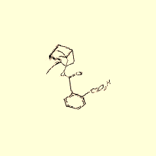 CC1CCC2CC1(OC(=O)c1ccccc1C(=O)O)C2(C)C